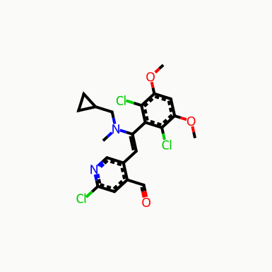 COc1cc(OC)c(Cl)c(/C(=C/c2cnc(Cl)cc2C=O)N(C)CC2CC2)c1Cl